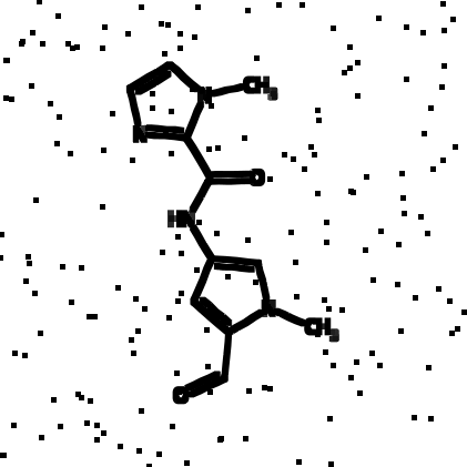 Cn1cc(NC(=O)c2nccn2C)cc1C=O